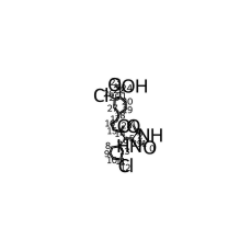 O=C1NC(=O)C(=C(c2cccc(Cl)c2)c2ccc(-c3ccc(C(=O)O)c(Cl)c3)o2)N1